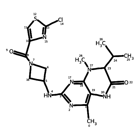 Cc1nc(NC2CN(C(=O)c3csc(Cl)n3)C2)nc2c1NC(=O)C(C(C)C)N2C